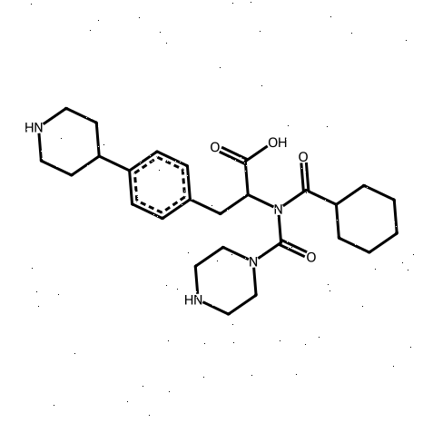 O=C(O)C(Cc1ccc(C2CCNCC2)cc1)N(C(=O)C1CCCCC1)C(=O)N1CCNCC1